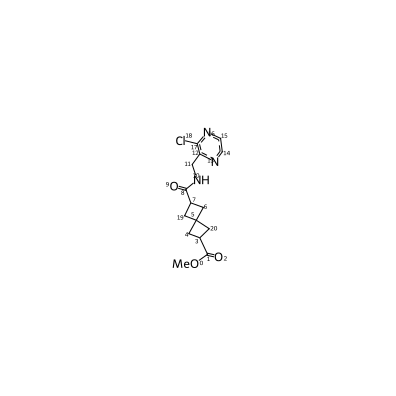 COC(=O)C1CC2(CC(C(=O)NCc3nccnc3Cl)C2)C1